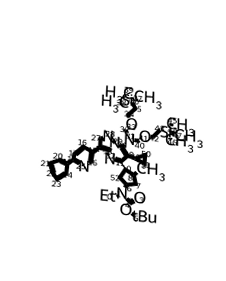 CCN(C(=O)OC(C)(C)C)C1CC(C)[C@@H](c2nc3c(-c4ccc(-c5ccccc5)nc4)cnn3c(N(COCC[Si](C)(C)C)COCC[Si](C)(C)C)c2C2CC2)C1